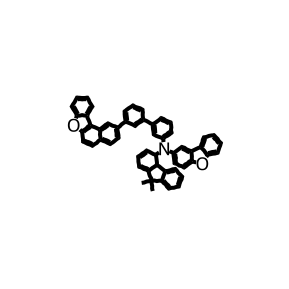 CC1(C)C2=CC=CC(N(c3cccc(-c4cccc(-c5ccc6ccc7oc8ccccc8c7c6c5)c4)c3)c3ccc4oc5ccccc5c4c3)C2c2ccccc21